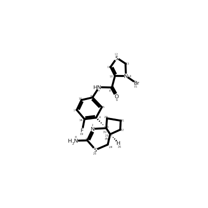 NC1=N[C@@]2(c3cc(NC(=O)C4=CSCN4Br)ccc3F)CCC[C@H]2CS1